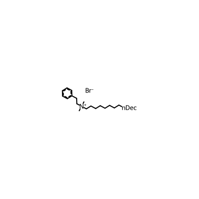 CCCCCCCCCCCCCCCCCC[N+](C)(C)CCc1ccccc1.[Br-]